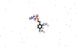 Cc1ccc(C=CCS(=O)(=O)C=[N+]=[N-])c(C)c1